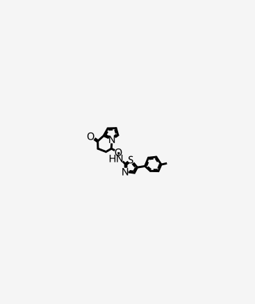 Cc1ccc(-c2cnc(NOC3CCC(=O)c4cccn43)s2)cc1